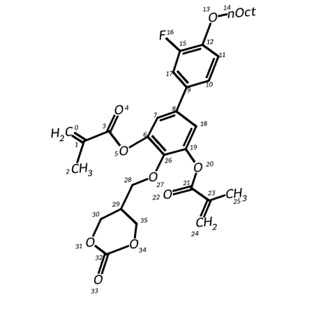 C=C(C)C(=O)Oc1cc(-c2ccc(OCCCCCCCC)c(F)c2)cc(OC(=O)C(=C)C)c1OCC1COC(=O)OC1